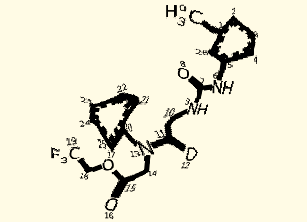 Cc1cccc(NC(=O)NCC(=O)N(CC(=O)OCC(F)(F)F)c2ccccc2)c1